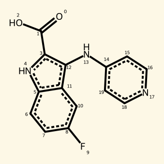 O=C(O)c1[nH]c2ccc(F)cc2c1Nc1ccncc1